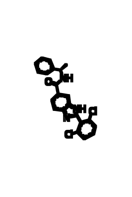 C[C@@H](NC(=O)c1ccc2nc(-c3c(Cl)cccc3Cl)[nH]c2c1)c1ccccc1